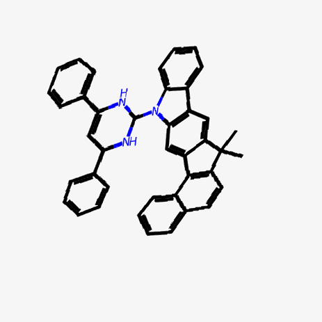 CC1(C)c2cc3c4ccccc4n(C4NC(c5ccccc5)=CC(c5ccccc5)N4)c3cc2-c2c1ccc1ccccc21